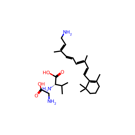 CC(C)[C@H](N)C(=O)O.CC(C=CC1=C(C)CCCC1(C)C)=CC=CC(C)=CCN.NCC(=O)O